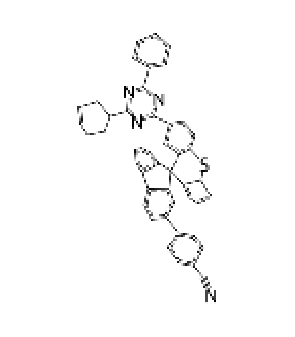 N#Cc1ccc(-c2ccc3c(c2)C2(C4=CC=CCC4Sc4ccc(-c5nc(-c6ccccc6)nc(C6CC=CCC6)n5)cc42)c2ccccc2-3)cc1